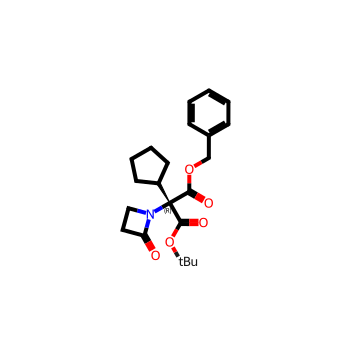 CC(C)(C)OC(=O)[C@](C(=O)OCc1ccccc1)(C1CCCC1)N1CCC1=O